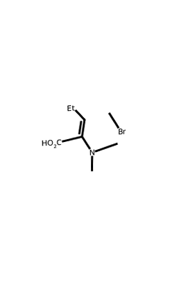 CBr.CC/C=C(\C(=O)O)N(C)C